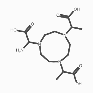 CC(C(=O)O)N1CCN(C(C)C(=O)O)CCN(C(N)C(=O)O)CC1